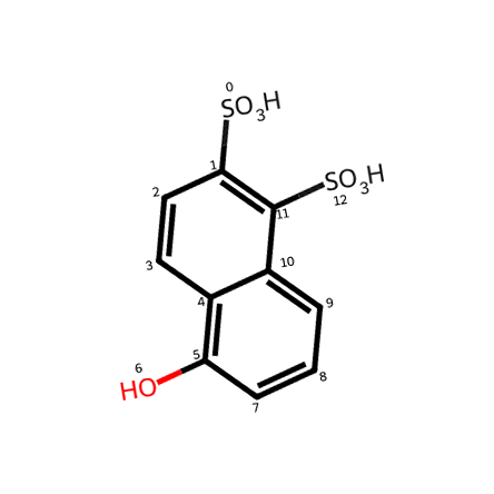 O=S(=O)(O)c1ccc2c(O)cccc2c1S(=O)(=O)O